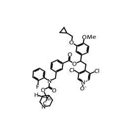 COc1ccc(C(Cc2c(Cl)c[n+]([O-])cc2Cl)OC(=O)c2cccc(CN(C(=O)O[C@H]3CN4CCC3CC4)c3ccccc3F)c2)cc1OCC1CC1